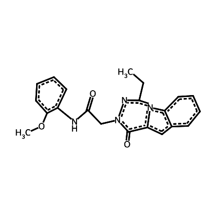 CCc1nn(CC(=O)Nc2ccccc2OC)c(=O)c2cc3ccccc3n12